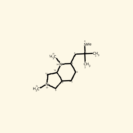 CSC(C)(C)CC1CCC2CN(C)CC2N1C